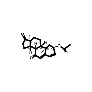 CC(=O)O[C@H]1C=CC2=CC(=O)[C@@H]3[C@H](CC[C@]4(C)C(=O)CC[C@@H]34)[C@@]2(C)C1